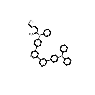 C=C(/C=C\C=C/C)N(c1ccccc1)c1ccc(-c2cncc(-c3cncc(-c4ccc(N(c5ccccc5)c5ccccc5)cc4)c3)c2)cc1